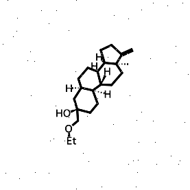 C=C1CC[C@H]2[C@@H]3CC[C@@H]4C[C@@](O)(COCC)CC[C@@H]4[C@H]3CC[C@]12C